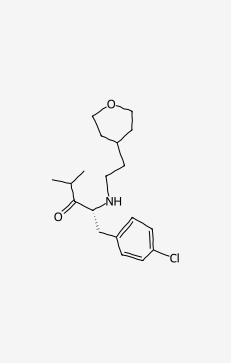 CC(C)C(=O)[C@@H](Cc1ccc(Cl)cc1)NCCC1CCOCC1